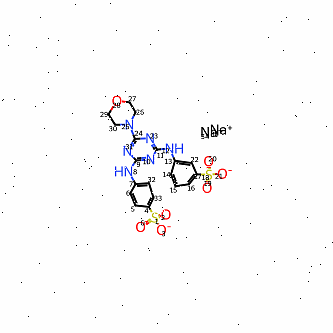 O=S(=O)([O-])c1ccc(Nc2nc(Nc3cccc(S(=O)(=O)[O-])c3)nc(N3CCOCC3)n2)cc1.[Na+].[Na+]